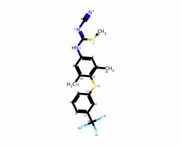 CS/C(=N\C#N)Nc1cc(C)c(Sc2cccc(C(F)(F)F)c2)c(C)c1